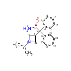 CC(C)N1CC(C(C(N)=O)(c2ccccc2)c2ccccc2)C1